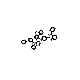 c1ccc(-c2cccc(-n3c4ccccc4c4ccc5c(c6ccc7oc8ccccc8c7c6n5-c5ccc(-c6nc(-c7ccccc7)c7ccccc7n6)cc5)c43)c2)cc1